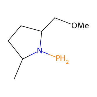 COCC1CCC(C)N1P